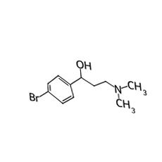 CN(C)CCC(O)c1ccc(Br)cc1